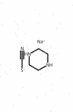 C1CNCCN1.N#C[S-].[Na+]